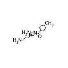 Cc1ccc(C(=O)NC[C@@H](N)CCCN)cc1